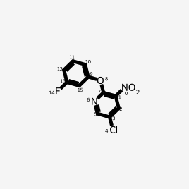 O=[N+]([O-])c1cc(Cl)cnc1Oc1cccc(F)c1